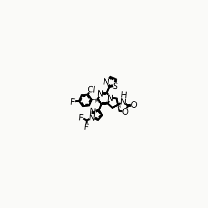 O=C1N[C@]2(CO1)CC1=C(c3ccn(C(F)F)n3)[C@H](c3ccc(F)cc3Cl)N=C(c3nccs3)N1C2